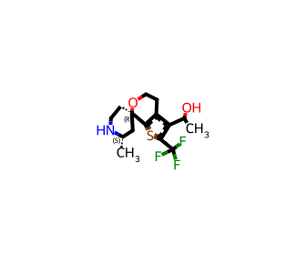 CC(O)c1c(C(F)(F)F)sc2c1CCO[C@@]21CCN[C@@H](C)C1